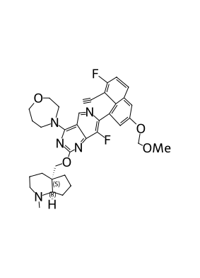 C#Cc1c(F)ccc2cc(OCOC)cc(-c3ncc4c(N5CCCOCC5)nc(OC[C@]56CCC[C@H]5N(C)CCC6)nc4c3F)c12